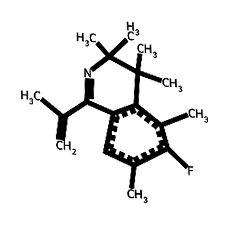 C=C(C)C1=NC(C)(C)C(C)(C)c2c1cc(C)c(F)c2C